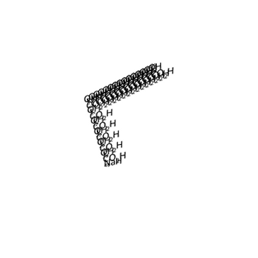 O=C(O)O.O=C(O)O.O=C(O)O.O=C(O)O.O=C(O)O.O=C(O)O.O=C(O)O.O=C(O)O.O=C(O)O.O=C(O)O.O=C(O)O.O=C(O)O.O=C(O)O.O=C(O)O.O=C(O)O.O=C(O)O.O=C(O)O.O=C(O)O.O=C(O)O.O=C(O)O.[NaH]